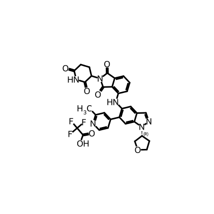 Cc1cc(-c2cc3c(cnn3[C@@H]3CCOC3)cc2Nc2cccc3c2C(=O)N(C2CCC(=O)NC2=O)C3=O)ccn1.O=C(O)C(F)(F)F